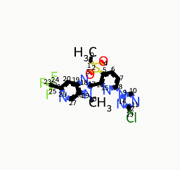 CCS(=O)(=O)c1ccc(-n2cnc(Cl)n2)nc1-c1nc2cc(C(F)(F)F)ncc2n1C